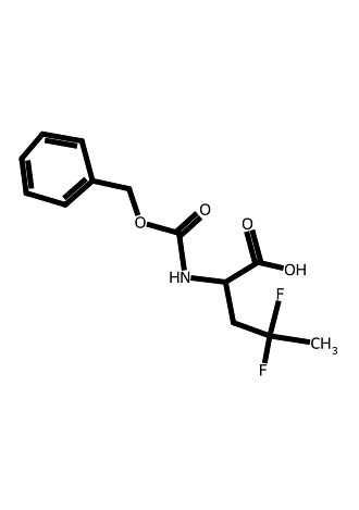 CC(F)(F)CC(NC(=O)OCc1ccccc1)C(=O)O